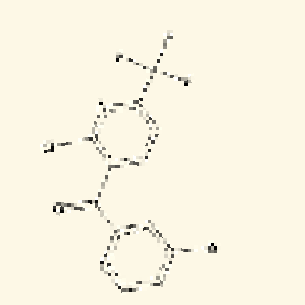 O=C(c1cccc(Br)c1)c1ccc(C(F)(F)F)nc1Cl